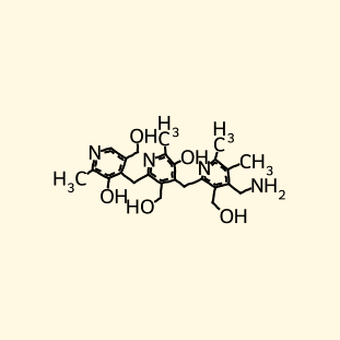 Cc1nc(Cc2c(O)c(C)nc(Cc3c(CO)cnc(C)c3O)c2CO)c(CO)c(CN)c1C